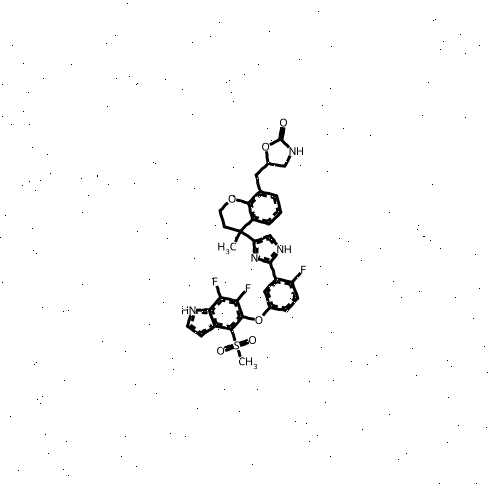 CC1(c2c[nH]c(-c3cc(Oc4c(F)c(F)c5[nH]ccc5c4S(C)(=O)=O)ccc3F)n2)CCOc2c(CC3CNC(=O)O3)cccc21